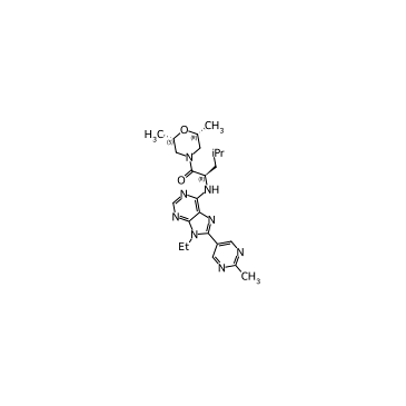 CCn1c(-c2cnc(C)nc2)nc2c(N[C@H](CC(C)C)C(=O)N3C[C@@H](C)O[C@@H](C)C3)ncnc21